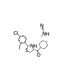 N#CNC[C@@H]1CCCC(C(=O)C2CSC(c3ccc(Cl)cc3I)N2)C1